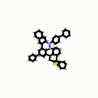 c1ccc(-c2ccc(N3B4c5cccc6c5C(Cc5sc7ccccc7c5-6)c5cc(-c6ccccc6)cc(c54)-c4cc5ccccc5cc43)cc2)cc1